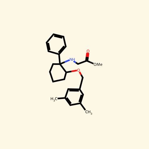 COC(=O)CNC1(c2ccccc2)CCCCC1OCc1cc(C)cc(C)c1